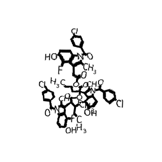 CCCCC(OC(=O)C(c1c(C)n(C(=O)c2ccc(Cl)cc2)c2ccc(O)c(F)c12)C(C)CC)(C(=O)OC(=O)Cc1c(C)n(C(=O)c2ccc(Cl)cc2)c2ccc(O)c(F)c12)c1c(C)n(C(=O)c2ccc(Cl)cc2)c2ccc(O)c(F)c12